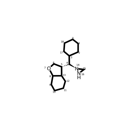 C1CCC(C([C@H]2COC3CCCCC32)[N@@]2CN2)CC1